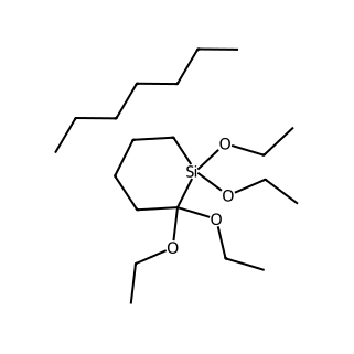 CCCCCCC.CCOC1(OCC)CCCC[Si]1(OCC)OCC